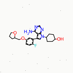 Nc1ncnc2c1c(-c1cc(OCC3CCCO3)ccc1F)cn2C1CCC(O)CC1